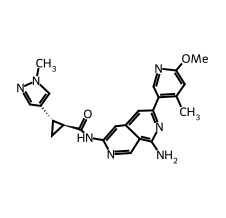 COc1cc(C)c(-c2cc3cc(NC(=O)[C@H]4C[C@@H]4c4cnn(C)c4)ncc3c(N)n2)cn1